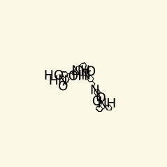 O=C(Nc1ccccc1-c1ccccc1)OC1CCN(CCC2CCC(NC(=O)c3cccc(CNCC(O)c4ccc(O)c5[nH]c(=O)ccc45)c3)CC2)CC1